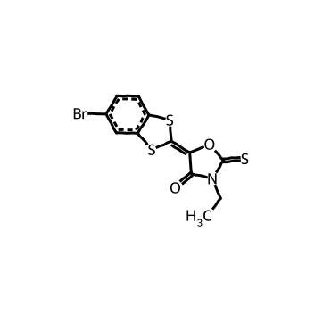 CCN1C(=O)/C(=C2/Sc3ccc(Br)cc3S2)OC1=S